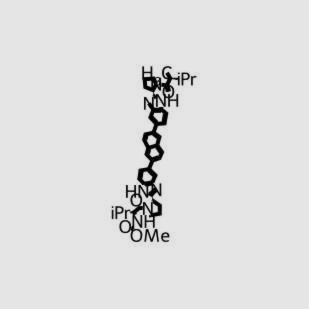 COC(=O)N[C@H](C(=O)N1CCC[C@H]1c1nc2cc(-c3ccc4cc(-c5ccc6[nH]c([C@@H]7CCCN7C(=O)[C@@H](C)C(C)C)nc6c5)ccc4c3)ccc2[nH]1)C(C)C